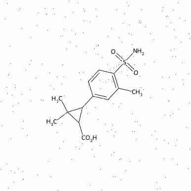 Cc1cc(C2C(C(=O)O)C2(C)C)ccc1S(N)(=O)=O